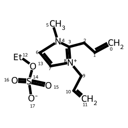 C=CCc1n(C)cc[n+]1CC=C.CCOS(=O)(=O)[O-]